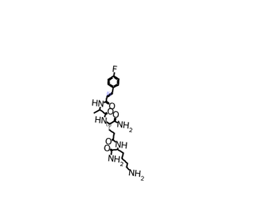 CC(NC(=O)/C=C/c1ccc(F)cc1)C(=O)N[C@@H](CCC(=O)NC(CCCCN)C(N)=O)C(N)=O